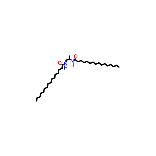 CCCCCCCCCCCCCCCC(=O)NCC(C)NC(=O)CCCCCCCCCCCCCCC